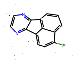 Brc1ccc2c3c(cccc13)-c1nccnc1-2